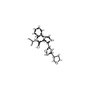 CC(C)n1c(=O)c2c(-c3nc(C4CCOC4)no3)ncn2c2ccccc21